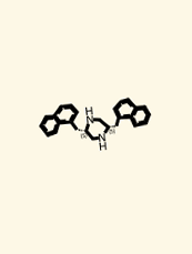 c1ccc2c(C[C@H]3CN[C@@H](Cc4cccc5ccccc45)CN3)cccc2c1